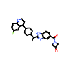 CC(c1nc2cc(C(=O)N3CC(O)C3)ccc2[nH]1)C1CCC(c2ccnc3ccc(F)cc23)CC1